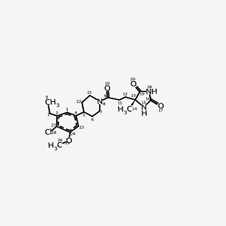 CCc1cc(C2CCN(C(=O)CC[C@@]3(C)NC(=O)NC3=O)CC2)cc(OC)c1Cl